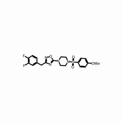 COc1ccc(S(=O)(=O)N2CCN(c3nc(Cc4ccc(F)c(F)c4)no3)CC2)cc1